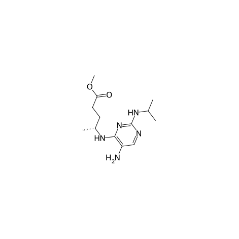 COC(=O)CC[C@@H](C)Nc1nc(NC(C)C)ncc1N